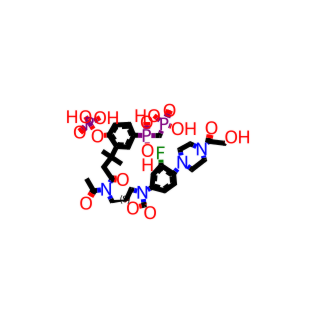 CC(=O)N(C[C@H]1CN(c2ccc(N3CCN(C(=O)CO)CC3)c(F)c2)C(=O)O1)C(=O)CC(C)(C)c1cc(P(=O)(O)CP(=O)(O)O)ccc1OP(=O)(O)O